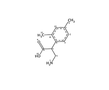 Cc1ccc(C(CN)C(=O)O)c(C)c1